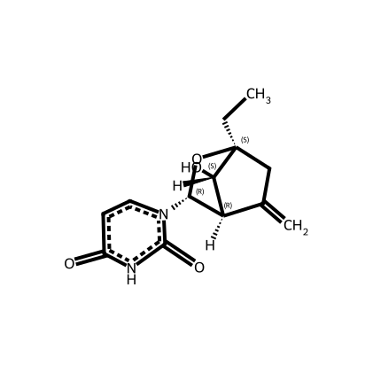 C=C1C[C@]2(CC)O[C@@H](n3ccc(=O)[nH]c3=O)[C@H]1[C@@H]2O